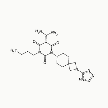 CCCCN1C(=O)C(=C(N)N)C(=O)N(C2CCC3(CC2)CN(c2nnc[nH]2)C3)C1=O